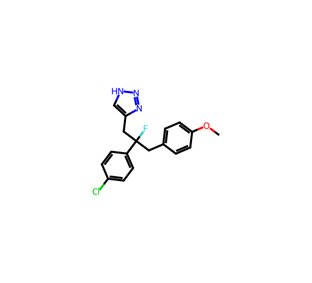 COc1ccc(CC(F)(Cc2c[nH]nn2)c2ccc(Cl)cc2)cc1